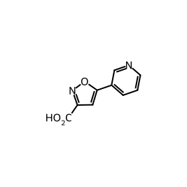 O=C(O)c1cc(-c2cccnc2)on1